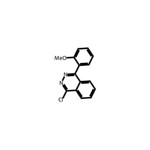 COc1ccccc1-c1nnc(Cl)c2ccccc12